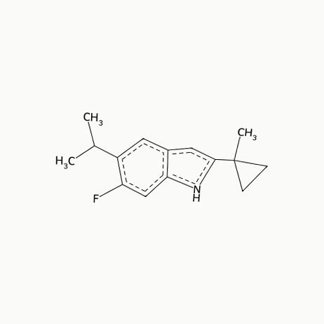 CC(C)c1cc2cc(C3(C)CC3)[nH]c2cc1F